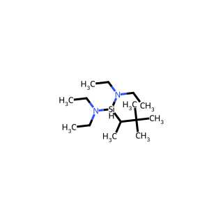 CCN(CC)[SiH](C(C)C(C)(C)C)N(CC)CC